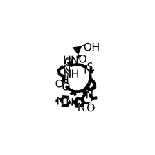 CCn1c(-c2cc(N3CCN(C)CC3)cnc2[C@H](C)OC)c2c3cc(ccc31)-c1csc(n1)C[C@H](NC(=O)[C@H]1C[C@@H]1CO)C(=O)N1CCC[C@H](N1)C(=O)OCC(C)(C)C2